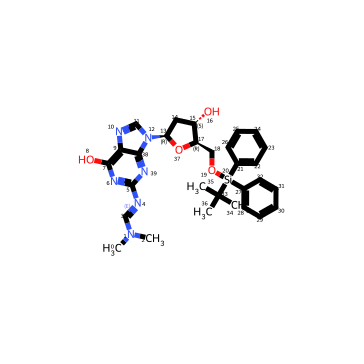 CN(C)/C=N/c1nc(O)c2ncn([C@H]3C[C@H](O)[C@@H](CO[Si](c4ccccc4)(c4ccccc4)C(C)(C)C)O3)c2n1